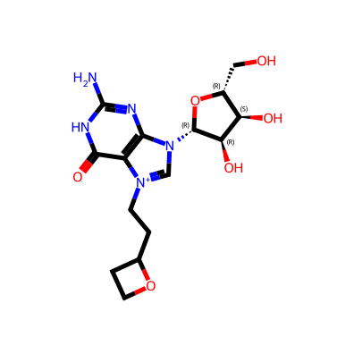 Nc1nc2c(c(=O)[nH]1)[n+](CCC1CCO1)cn2[C@@H]1O[C@H](CO)[C@@H](O)[C@H]1O